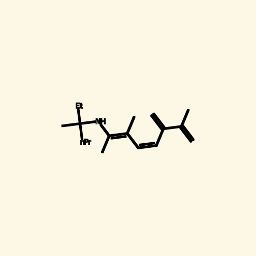 C=C(C)C(=C)/C=C\C(C)=C(/C)NC(C)(CC)CCC